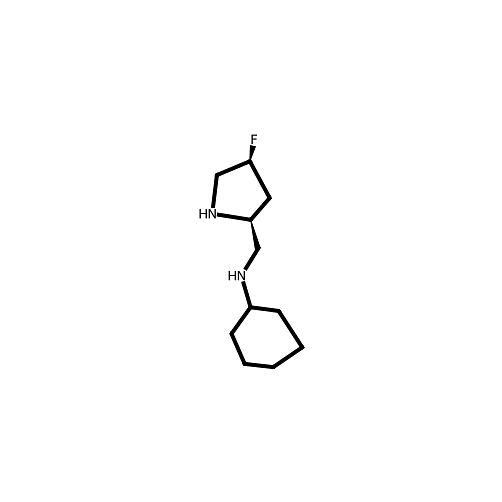 F[C@@H]1CN[C@H](CNC2CCCCC2)C1